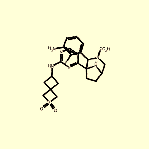 Nc1cccc(C2N(C(=O)O)CC3CCC2(c2ccnc(NC4CC5(C4)CS(=O)(=O)C5)n2)N3)c1F